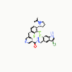 C=C(C)N1CCCC1c1ccc(Cc2cncc(C(=O)NCc3cc4c(Cl)c[nH]c4cc3F)c2)c(F)c1F